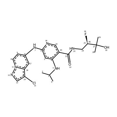 CC(C)Nc1cc(Nc2ccn3ncc(Cl)c3c2)ncc1C(=O)NC[C@@H](F)C(C)(C)O